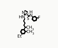 CCc1ccc(C(C)CCCCNC2=NCCN2C(=S)Nc2cccc(F)c2)c(C)c1